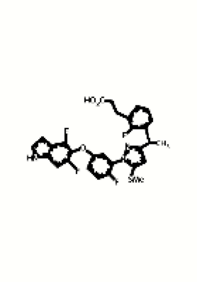 CSc1cc(C(C)c2cccc(CCC(=O)O)c2F)nn1-c1cc(Oc2c(F)cc3[nH]ccc3c2F)ccc1F